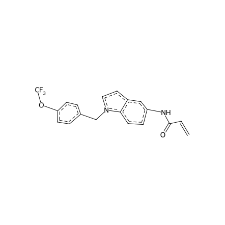 C=CC(=O)Nc1ccc2c(ccn2Cc2ccc(OC(F)(F)F)cc2)c1